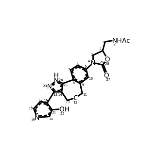 CC(=O)NCC1CN(c2ccc3c(c2)CCCc2c(-c4ccncc4O)n[nH]c2-3)C(=O)O1